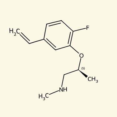 C=Cc1ccc(F)c(O[C@@H](C)CNC)c1